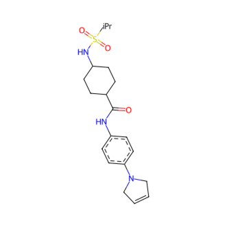 CC(C)S(=O)(=O)NC1CCC(C(=O)Nc2ccc(N3CC=CC3)cc2)CC1